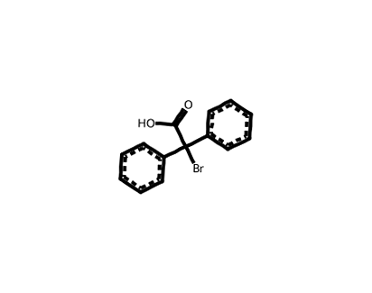 O=C(O)C(Br)(c1ccccc1)c1ccccc1